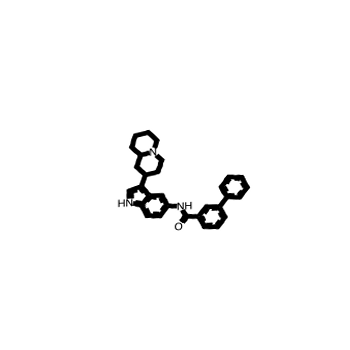 O=C(Nc1ccc2[nH]cc(C3CCN4CCCCC4C3)c2c1)c1cccc(-c2ccccc2)c1